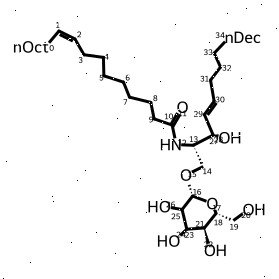 CCCCCCCC/C=C\CCCCCCCC(=O)N[C@@H](CO[C@@H]1O[C@H](CO)[C@@H](O)C(O)C1O)[C@H](O)/C=C/CCCCCCCCCCCCC